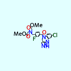 COC(=O)CN(CC(=O)OC)Cc1ccc(C(=O)N2Cc3cnn(C)c3Nc3cc(Cl)ccc32)cc1F